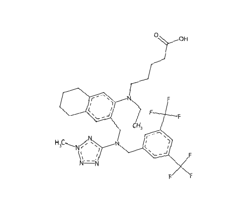 CCN(CCCCC(=O)O)c1cc2c(cc1CN(Cc1cc(C(F)(F)F)cc(C(F)(F)F)c1)c1nnn(C)n1)CCCC2